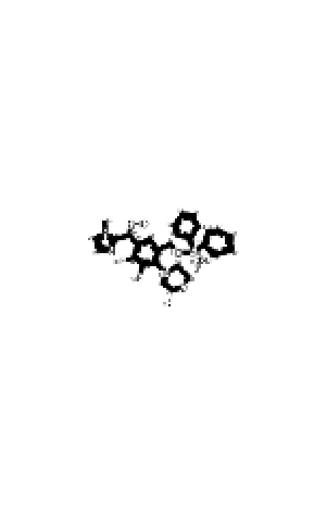 C[C@@H]1CN(c2c(CO[Si](c3ccccc3)(c3ccccc3)C(C)(C)C)cc(C(C=O)c3nccn3C)c(F)c2F)C[C@H](C)O1